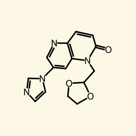 O=c1ccc2ncc(-n3ccnc3)cc2n1CC1OCCO1